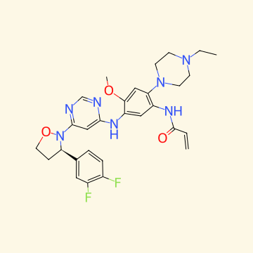 C=CC(=O)Nc1cc(Nc2cc(N3OCC[C@@H]3c3ccc(F)c(F)c3)ncn2)c(OC)cc1N1CCN(CC)CC1